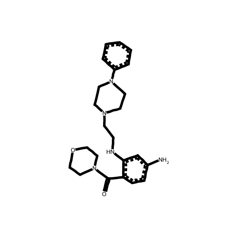 Nc1ccc(C(=O)N2CCOCC2)c(NCCN2CCN(c3ccccc3)CC2)c1